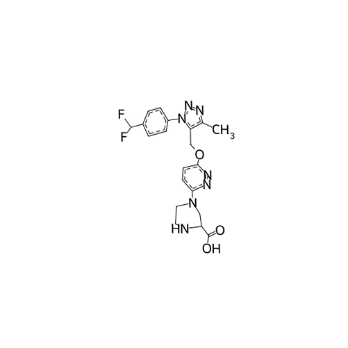 Cc1nnn(-c2ccc(C(F)F)cc2)c1COc1ccc(N2CCNC(C(=O)O)C2)nn1